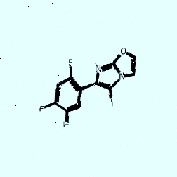 Fc1cc(F)c(-c2nc3occn3c2I)cc1F